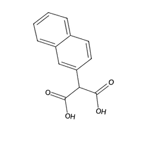 O=C(O)C(C(=O)O)c1ccc2ccccc2c1